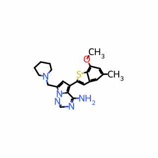 COc1cc(C)cc2cc(-c3cc(CN4CCCCC4)n4ncnc(N)c34)sc12